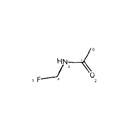 CC(=O)NCF